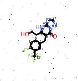 O=c1c(Cc2ccc(F)c(C(F)(F)F)c2)c(CCO)[nH]c2ncnn12